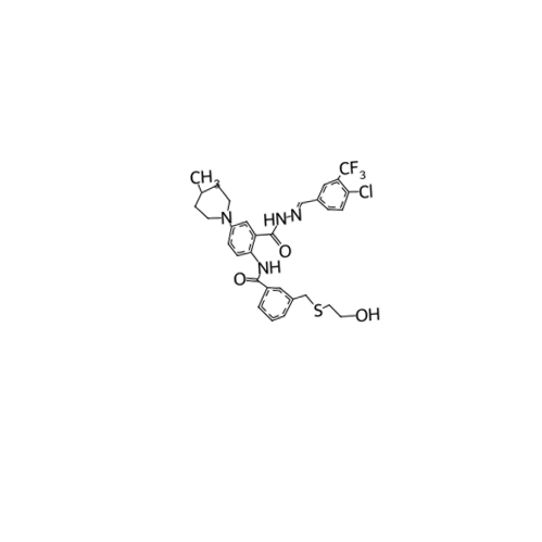 CC1CCN(c2ccc(NC(=O)c3cccc(CSCCO)c3)c(C(=O)N/N=C/c3ccc(Cl)c(C(F)(F)F)c3)c2)CC1